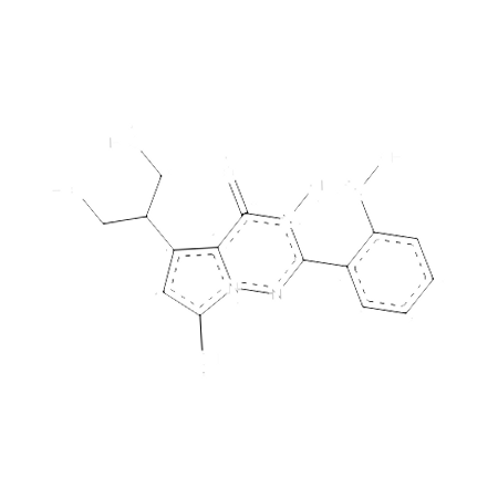 CCC(CC)c1cc(C)n2nc(-c3ccccc3SC)n(C)c(=O)c12